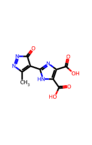 CC1=C(c2nc(C(=O)O)c(C(=O)O)[nH]2)C(=O)N=N1